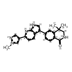 Cn1cc(-c2ccc3c(-c4ccc5c(c4)C(C)(C)CNC5=O)c[nH]c3n2)cn1